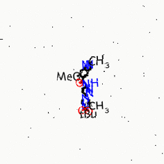 COc1cc2nn(C)cc2cc1C(=O)Nc1ccc(N2CCN(C(=O)OC(C)(C)C)[C@@H](C)C2)nn1